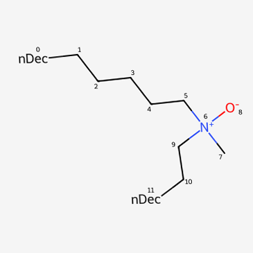 CCCCCCCCCCCCCCC[N+](C)([O-])CCCCCCCCCCCC